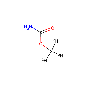 [2H]C([2H])([2H])OC(N)=O